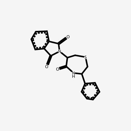 O=C1NC(c2ccccc2)CSCC1N1C(=O)c2ccccc2C1=O